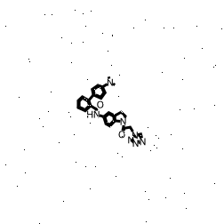 CN(C)c1ccc(-c2ccccc2C(=O)Nc2ccc3c(c2)CCN3C(=O)Cn2cnnn2)cc1